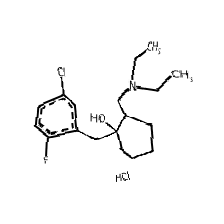 CCN(CC)CC1CCCCC1(O)Cc1cc(Cl)ccc1F.Cl